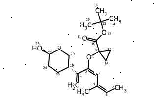 C=C(/C(=C\C(C)=C/C)OC1(C(=O)OC(C)(C)C)CC1)[C@H]1CC[C@H](O)CC1